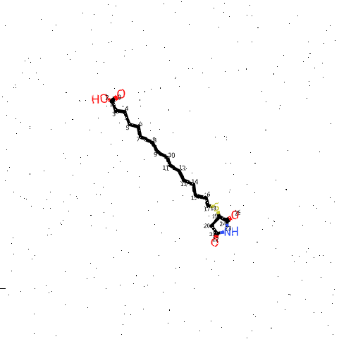 O=C(O)CCCCCCCCCCCCCCCSC1CC(=O)NC1=O